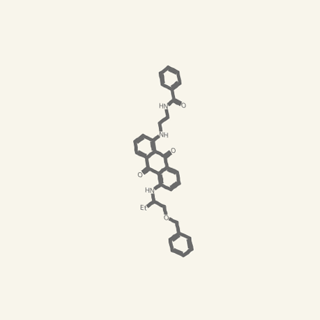 CCC(COCc1ccccc1)Nc1cccc2c1C(=O)c1cccc(NCCNC(=O)c3ccccc3)c1C2=O